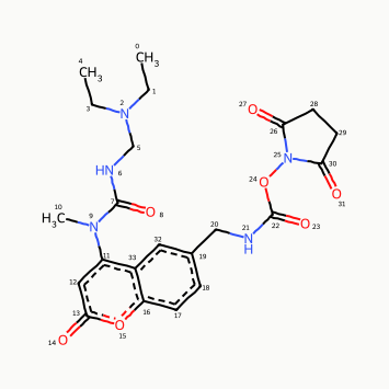 CCN(CC)CNC(=O)N(C)c1cc(=O)oc2ccc(CNC(=O)ON3C(=O)CCC3=O)cc12